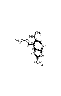 CNc1cnc2sc(C)nc2c1COC